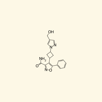 NC(=O)c1noc(-c2ccccc2)c1C1CC(n2cc(CO)cn2)C1